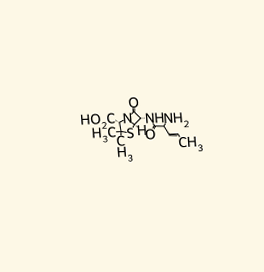 C/C=C/C(N)C(=O)N[C@H]1C(=O)N2[C@@H]1SC(C)(C)[C@@H]2C(=O)O